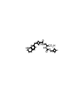 O=C(NC(CNC(=O)C1CC(Cc2ccc3c(n2)NCCC3)C1)C(=O)O)OCC1CCC1